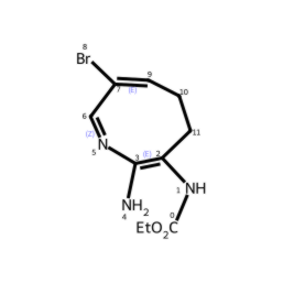 CCOC(=O)N/C1=C(N)/N=C\C(Br)=C/CC1